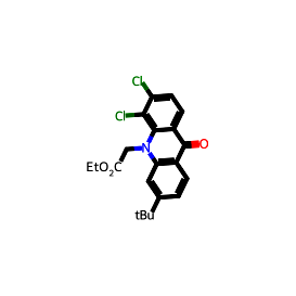 CCOC(=O)Cn1c2cc(C(C)(C)C)ccc2c(=O)c2ccc(Cl)c(Cl)c21